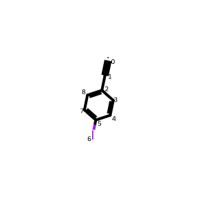 [C]#Cc1ccc(I)cc1